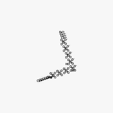 O=P([O-])([O-])O.O=P([O-])([O-])O.O=P([O-])([O-])[O-].O=P([O-])([O-])[O-].O=P([O-])([O-])[O-].O=P([O-])([O-])[O-].O=P([O-])([O-])[O-].O=P([O-])([O-])[O-].[Ca+2].[Ca+2].[Ca+2].[Ca+2].[Ca+2].[Ca+2].[Ca+2].[Ca+2].[Ca+2].[Fe+2].[Mg+2]